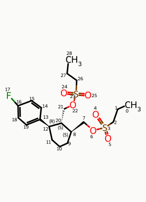 CCCS(=O)(=O)OC[C@H]1CCC[C@@H](c2ccc(F)cc2)[C@@H]1COS(=O)(=O)CCC